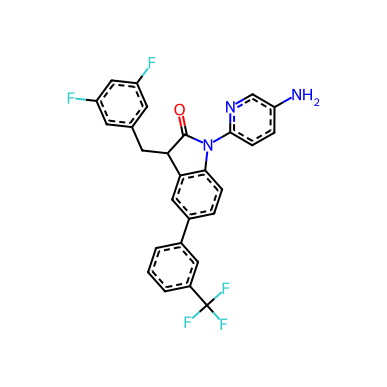 Nc1ccc(N2C(=O)C(Cc3cc(F)cc(F)c3)c3cc(-c4cccc(C(F)(F)F)c4)ccc32)nc1